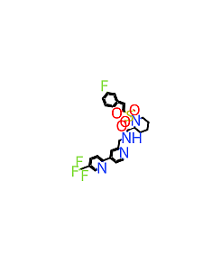 O=C(NCc1cc(-c2ccc(C(F)(F)F)cn2)ccn1)[C@@H]1CCCCN1S(=O)(=O)c1cc2cc(F)ccc2o1